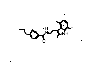 CCCc1ccc(C(=O)NCCc2c(C)[nH]c3c(F)ccc(C)c23)cc1